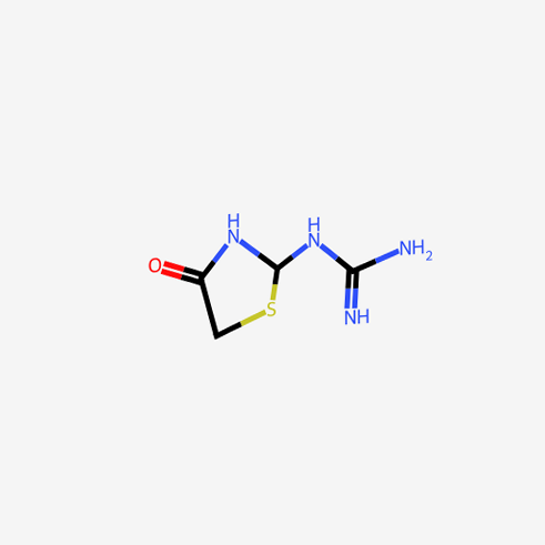 N=C(N)NC1NC(=O)CS1